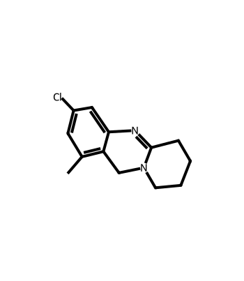 Cc1cc(Cl)cc2c1CN1CCCCC1=N2